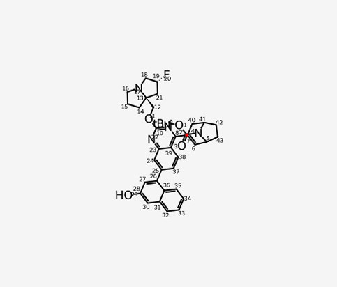 CC(C)(C)OC(=O)N1C2C=C(c3nc(OC[C@@]45CCCN4C[C@H](F)C5)nc4cc(-c5cc(O)cc6ccccc56)ccc34)CC1CC2